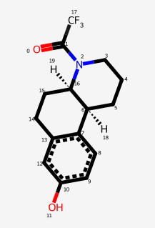 O=C(N1CCC[C@H]2c3ccc(O)cc3CC[C@H]21)C(F)(F)F